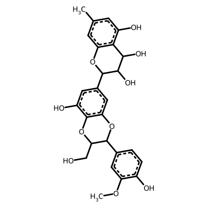 COc1cc(C2Oc3cc(C4Oc5cc(C)cc(O)c5C(O)C4O)cc(O)c3OC2CO)ccc1O